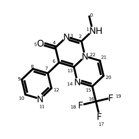 CNc1nc(=O)c(-c2cccnc2)c2nc(C(F)(F)F)ccn12